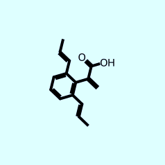 C=C(C(=O)O)c1c(C=CC)cccc1C=CC